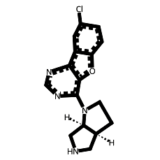 Clc1ccc2oc3c(N4CC[C@H]5CNC[C@H]54)ncnc3c2c1